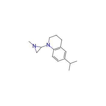 CC(C)c1ccc2c(c1)CCCN2C1CN1C